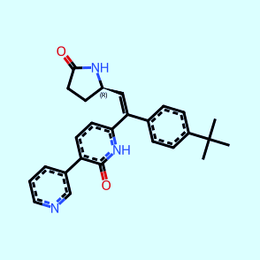 CC(C)(C)c1ccc(C(=C[C@H]2CCC(=O)N2)c2ccc(-c3cccnc3)c(=O)[nH]2)cc1